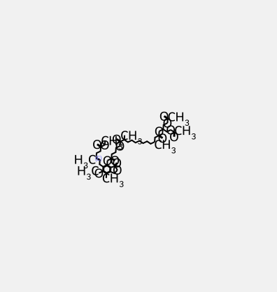 COC(=O)CC/C(C)=C/Cc1c(OC)c(C)c2c(c1OC(=O)CCCOC(=O)C(C)CCCCCCCC(C)CC(=O)OC(COC(C)=O)COC(C)=O)C(=O)OC2